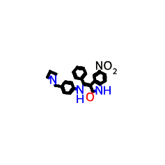 O=C1Nc2ccc([N+](=O)[O-])cc2/C1=C(/Nc1ccc(CN2CCC2)cc1)c1ccccc1